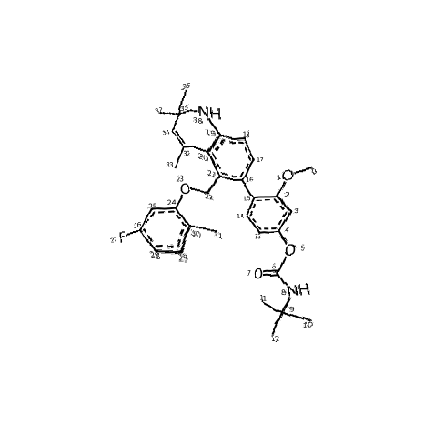 COc1cc(OC(=O)NC(C)(C)C)ccc1-c1ccc2c(c1COc1cc(F)ccc1C)C(C)=CC(C)(C)N2